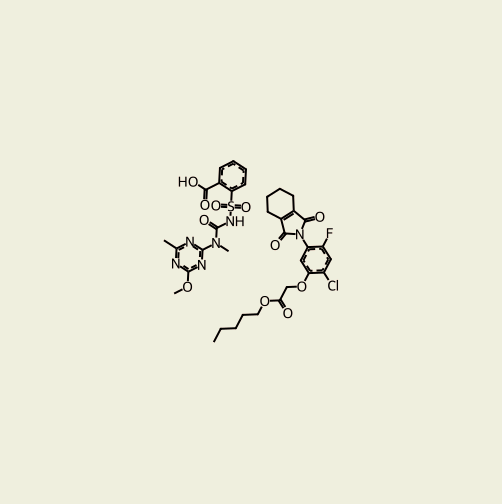 CCCCCOC(=O)COc1cc(N2C(=O)C3=C(CCCC3)C2=O)c(F)cc1Cl.COc1nc(C)nc(N(C)C(=O)NS(=O)(=O)c2ccccc2C(=O)O)n1